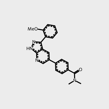 COc1ccccc1-c1n[nH]c2ncc(-c3ccc(C(=O)N(C)C)cc3)cc12